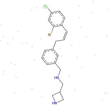 Clc1ccc(/C=C\Cc2cccc(CNCC3CNC3)c2)c(Br)c1